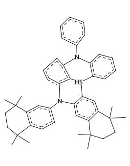 CC1(C)CCC(C)(C)c2cc(N3c4cc5c(cc4[SH]4c6ccccc6N(c6ccccc6)c6cccc3c64)C(C)(C)CCC5(C)C)ccc21